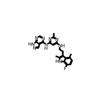 Cc1nc(NCCc2c(C)[nH]c3c(F)ccc(C)c23)cc(Nc2ncnc3[nH]ncc23)n1